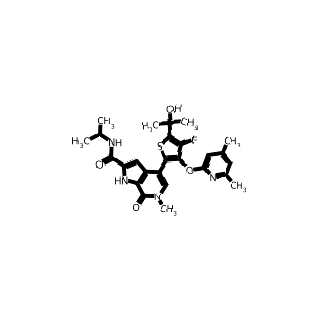 Cc1cc(C)nc(Oc2c(-c3cn(C)c(=O)c4[nH]c(C(=O)NC(C)C)cc34)sc(C(C)(C)O)c2F)c1